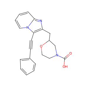 O=C(O)N1CCOC(Cc2nc3ccccn3c2C#Cc2ccccc2)C1